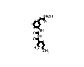 C=C/C=C\C(=C/C)C(=O)NC(=O)Nc1cccc(CC(=O)NO)c1